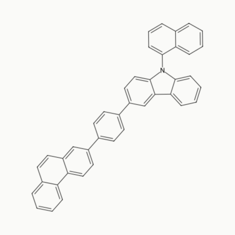 c1ccc2c(-n3c4ccccc4c4cc(-c5ccc(-c6ccc7c(ccc8ccccc87)c6)cc5)ccc43)cccc2c1